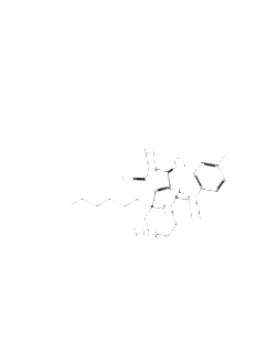 CCCCCCC1(C2=C(C)C(=O)NC2=O)CNCCN1C(=O)Nc1ccc(C)cc1